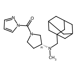 CN(CC12CC3CC(CC(C3)C1)C2)[C@@H]1CCN(C(=O)n2cccn2)C1